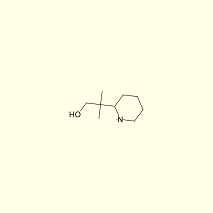 CC(C)(CO)C1CCCC[N]1